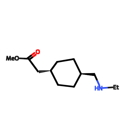 CCNC[C@H]1CC[C@H](CC(=O)OC)CC1